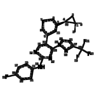 CC1(C)C[C@@H]1c1cccc(-c2cnc(Nc3ccc(F)cc3)nc2-n2ccc(C(F)(F)F)n2)c1